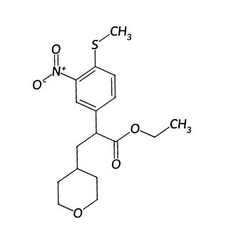 CCOC(=O)C(CC1CCOCC1)c1ccc(SC)c([N+](=O)[O-])c1